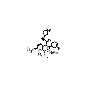 C=C/C=C\C(=C(C)C)C(C(=O)NC1CCC(F)(F)C1)N(ONC)C1=CC(F)=CCC1